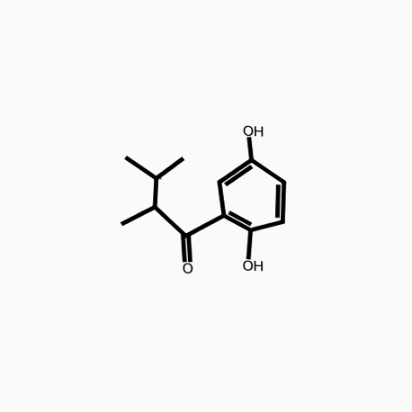 C[C](C)C(C)C(=O)c1cc(O)ccc1O